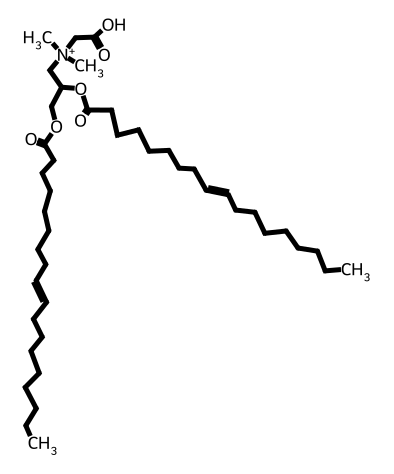 CCCCCCCCC=CCCCCCCCC(=O)OCC(C[N+](C)(C)CC(=O)O)OC(=O)CCCCCCCC=CCCCCCCCC